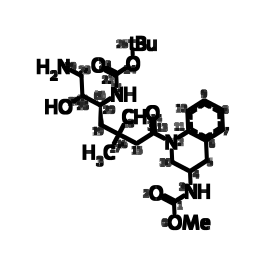 COC(=O)NC1Cc2ccccc2N(C(=O)CC(C)(C)C[C@H](NC(=O)OC(C)(C)C)[C@@H](O)CN)C1